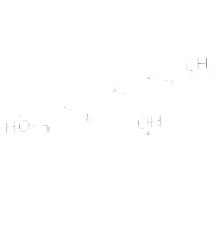 CCCC(O)CCCCO